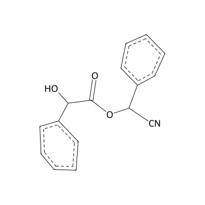 N#CC(OC(=O)C(O)c1ccccc1)c1ccccc1